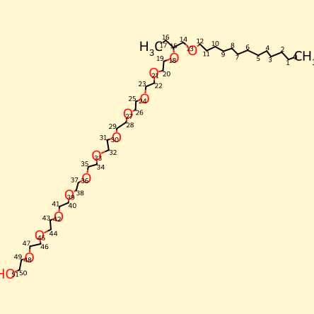 CCCCCCCCCCCCCOCC(CC)OCCOCCOCCOCCOCCOCCOCCOCCOCCOCCOCCO